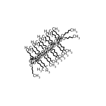 CCCCCO[SiH](O[SiH3])O[Si](OCCCCC)(OCCCCC)O[Si](OCCCCC)(OCCCCC)O[Si](OCCCCC)(OCCCCC)O[Si](OCCCCC)(OCCCCC)O[Si](OCCCCC)(OCCCCC)O[Si](OCCCCC)(OCCCCC)O[Si](OCCCCC)(OCCCCC)O[Si](OCCCCC)(OCCCCC)O[Si](OCCCCC)(OCCCCC)OCCCCC